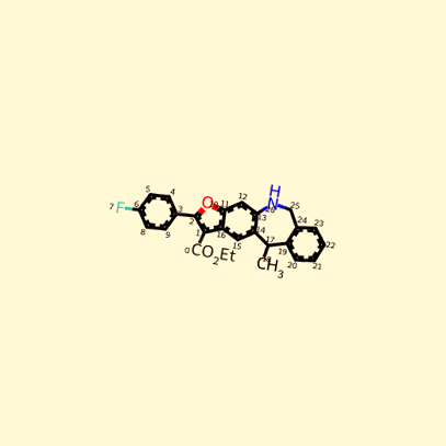 CCOC(=O)c1c(-c2ccc(F)cc2)oc2cc3c(cc12)C(C)c1ccccc1CN3